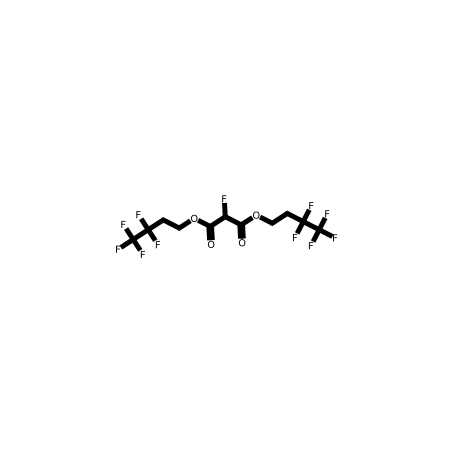 O=C(OCCC(F)(F)C(F)(F)F)C(F)C(=O)OCCC(F)(F)C(F)(F)F